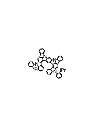 CC(C)c1ccccc1-n1c2ccccc2c2c3c4cc5c6c7c8ccccc8n(-c8ccccc8C(C)C)c7cc7c8ccccc8n(c5cc4n4c5ccccc5c(cc21)c34)c76